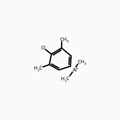 Cc1cccc(C)c1[O-].[CH3][Al+][CH3]